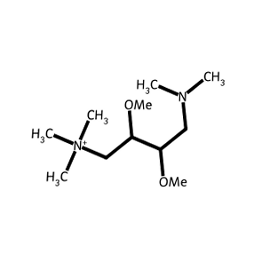 COC(CN(C)C)C(C[N+](C)(C)C)OC